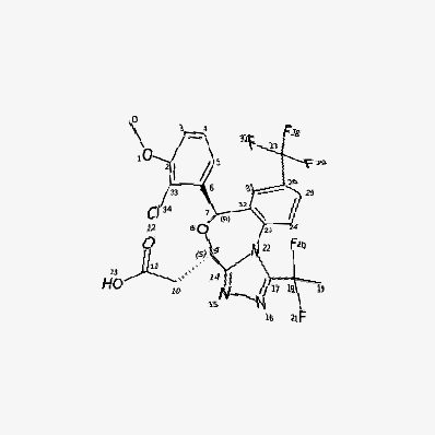 COc1cccc([C@@H]2O[C@@H](CC(=O)O)c3nnc(C(C)(F)F)n3-c3ccc(C(F)(F)F)cc32)c1Cl